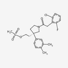 Cc1ccc([C@@]2(CCOS(C)(=O)=O)CCN(C(=O)Cc3c(F)cccc3Cl)C2)cc1C